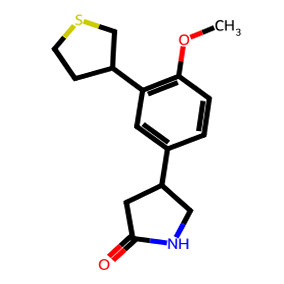 COc1ccc(C2CNC(=O)C2)cc1C1CCSC1